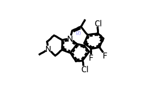 C/C(=C/n1c2c(c3cc(Cl)ccc31)CN(C)CC2)c1cc(F)c(F)cc1Cl